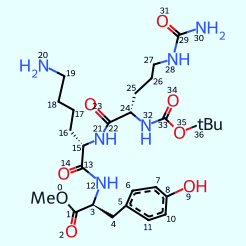 COC(=O)[C@H](Cc1ccc(O)cc1)NC(=O)[C@H](CCCCN)NC(=O)[C@H](CCCNC(N)=O)NC(=O)OC(C)(C)C